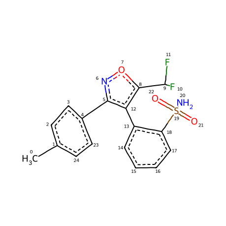 Cc1ccc(-c2noc(C(F)F)c2-c2ccccc2S(N)(=O)=O)cc1